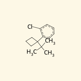 CC(C)(C)C1(c2ccccc2Cl)CCC1